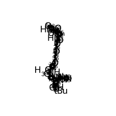 C[C@@H](NC(=O)c1cccc(NC2(c3nnc(-c4ccncc4)[nH]3)CCN(C(=O)OC(C)(C)C)CC2)c1)c1ccc(OCCCCCOCCCOCC(=O)Nc2cccc3c2CN(C2CCC(=O)NC2=O)C3=O)cc1